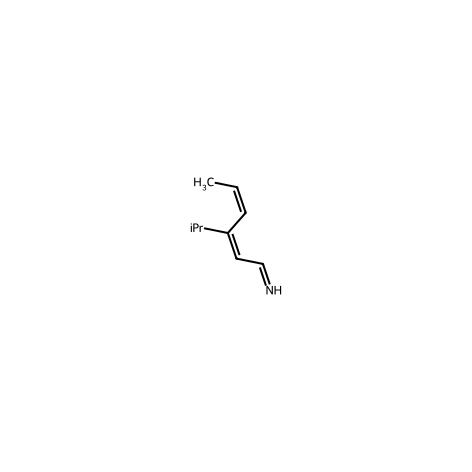 C/C=C\C(=C/C=N)C(C)C